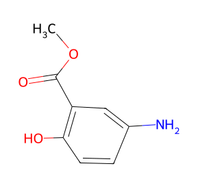 COC(=O)c1cc(N)ccc1O